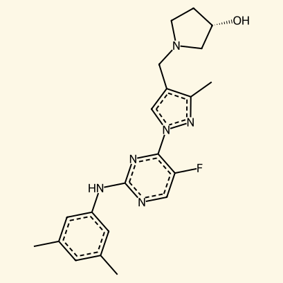 Cc1cc(C)cc(Nc2ncc(F)c(-n3cc(CN4CC[C@H](O)C4)c(C)n3)n2)c1